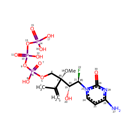 C=C(C)[C@](COP(=O)(O)OP(=O)(O)OP(=O)(O)O)(OC)[C@@H](O)[C@@H](F)n1ccc(N)nc1=O